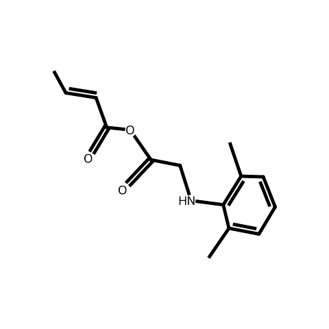 CC=CC(=O)OC(=O)CNc1c(C)cccc1C